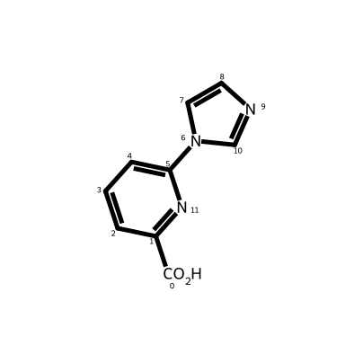 O=C(O)c1cccc(-n2ccnc2)n1